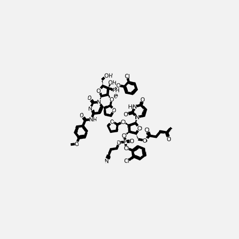 CC(=O)CCC(=O)OC[C@H]1O[C@@H](n2ccc(=O)[nH]c2=O)[C@H](OC2CCCO2)[C@@H]1OP(=O)(OCCC#N)Oc1ccccc1Cl.COc1ccc(C(=O)Nc2ccn([C@@H]3O[C@H](CO)[C@](O)([PH](=O)Oc4ccccc4Cl)[C@H]3OC3CCCO3)c(=O)n2)cc1